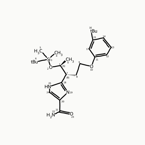 C[C@H](O[Si](C)(C)C(C)(C)C)[C@H](CCOc1cccc(C(C)(C)C)c1)c1nc(C(N)=O)c[nH]1